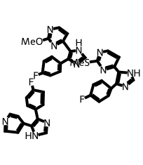 COc1nccc(-c2[nH]cnc2-c2ccc(F)cc2)n1.CSc1nccc(-c2[nH]cnc2-c2ccc(F)cc2)n1.Fc1ccc(-c2nc[nH]c2-c2ccncc2)cc1